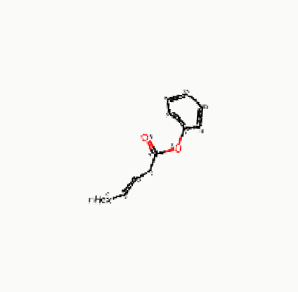 CCCCCCC=CCC(=O)Oc1ccccc1